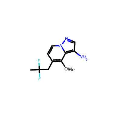 COc1c(CC(C)(F)F)ccn2ncc(N)c12